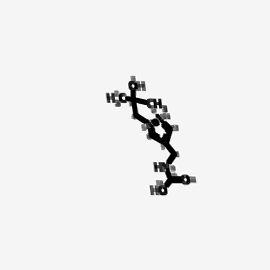 CC(C)(O)Cn1cc(CNC(=O)O)cn1